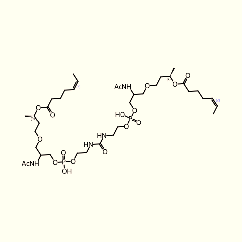 C/C=C\CCCC(=O)O[C@H](C)CCOCC(COP(=O)(O)OCCNC(=O)NCCOP(=O)(O)OCC(COCC[C@@H](C)OC(=O)CCC/C=C\C)NC(C)=O)NC(C)=O